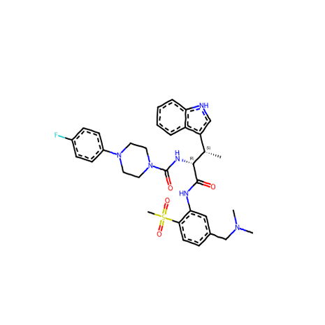 C[C@@H](c1c[nH]c2ccccc12)[C@@H](NC(=O)N1CCN(c2ccc(F)cc2)CC1)C(=O)Nc1cc(CN(C)C)ccc1S(C)(=O)=O